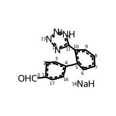 O=Cc1ccc(-c2ccccc2-c2nnn[nH]2)cc1.[NaH]